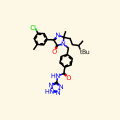 Cc1cc(Cl)cc(C2=NC(C)(CCC(C)C(C)(C)C)N(Cc3ccc(C(=O)Nc4nn[nH]n4)cc3)C2=O)c1